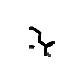 Br.CCCCCC(N)=O